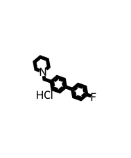 Cl.Fc1ccc(-c2ccc(CN3CCCCC3)cc2)cc1